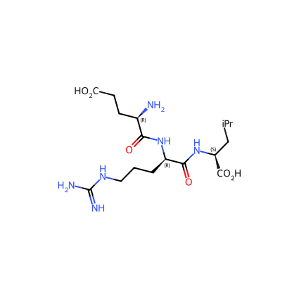 CC(C)C[C@H](NC(=O)[C@@H](CCCNC(=N)N)NC(=O)[C@H](N)CCC(=O)O)C(=O)O